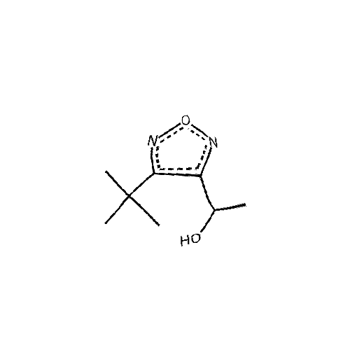 CC(O)c1nonc1C(C)(C)C